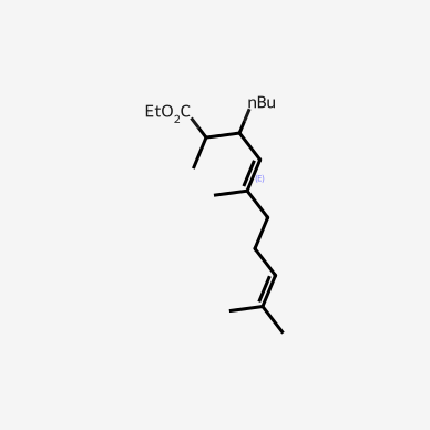 CCCCC(/C=C(\C)CCC=C(C)C)C(C)C(=O)OCC